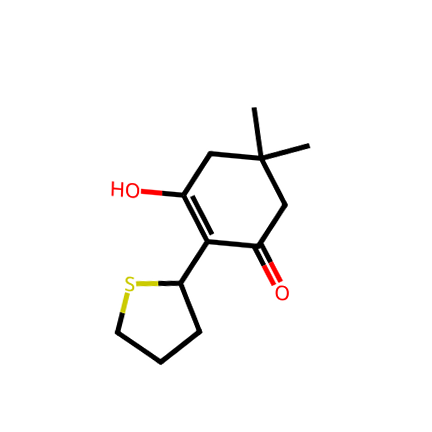 CC1(C)CC(=O)C(C2CCCS2)=C(O)C1